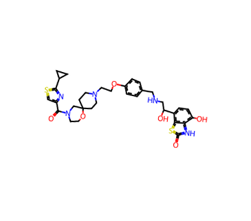 O=C(c1csc(C2CC2)n1)N1CCOC2(CCN(CCOc3ccc(CNCC(O)c4ccc(O)c5[nH]c(=O)sc45)cc3)CC2)C1